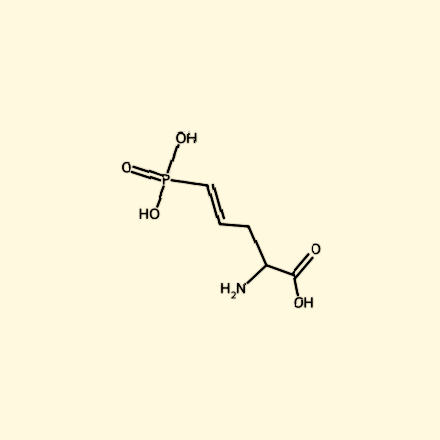 NC(C/C=C/P(=O)(O)O)C(=O)O